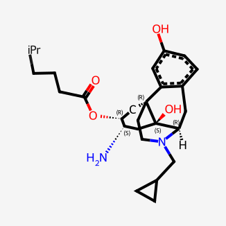 CC(C)CCCC(=O)O[C@@H]1C[C@]23CCN(CC4CC4)[C@H](Cc4ccc(O)cc42)[C@]3(O)C[C@@H]1N